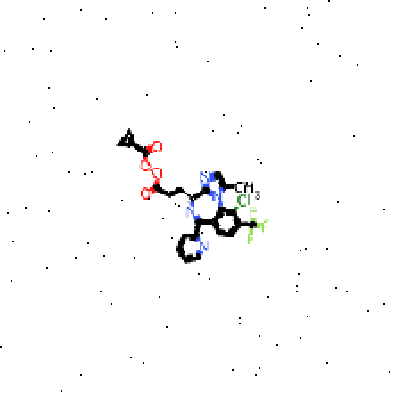 Cc1cnc2n1-c1c(ccc(C(F)(F)F)c1Cl)C(c1ccccn1)=N[C@H]2CCC(=O)OOC(=O)C1CC1